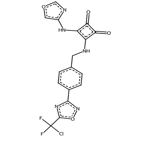 O=c1c(NCc2ccc(-c3noc(C(F)(F)Cl)n3)cc2)c(Nc2cocn2)c1=O